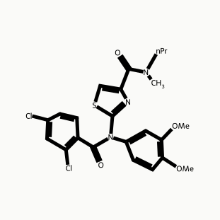 CCCN(C)C(=O)c1csc(N(C(=O)c2ccc(Cl)cc2Cl)c2ccc(OC)c(OC)c2)n1